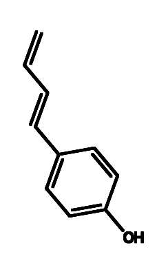 C=C/C=C/c1ccc(O)cc1